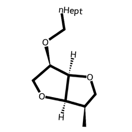 CCCCCCCCO[C@@H]1CO[C@H]2[C@@H]1OC[C@H]2C